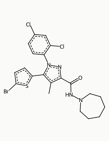 Cc1c(C(=O)NN2CCCCCC2)nn(-c2ccc(Cl)cc2Cl)c1-c1ccc(Br)s1